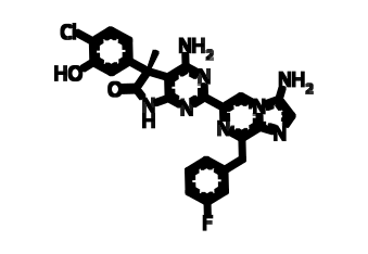 C[C@]1(c2ccc(Cl)c(O)c2)C(=O)Nc2nc(-c3cn4c(N)cnc4c(Cc4cccc(F)c4)n3)nc(N)c21